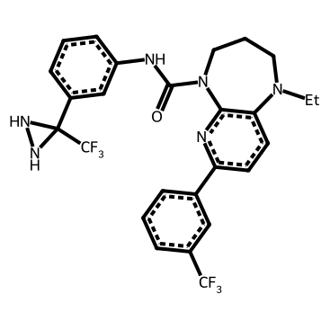 CCN1CCCN(C(=O)Nc2cccc(C3(C(F)(F)F)NN3)c2)c2nc(-c3cccc(C(F)(F)F)c3)ccc21